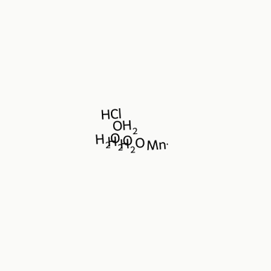 Cl.O.O.O.O.[Mn]